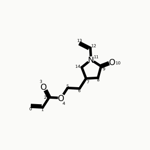 C=CC(=O)OCCC1CC(=O)N(C=C)C1